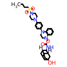 CCCCS(=O)(=O)N1CCN(c2ccc(N3CCN(OC(=O)NC4[C@@H]5CC6C[C@H]4CC(O)(C6)C5)c4ccccc43)cc2)CC1